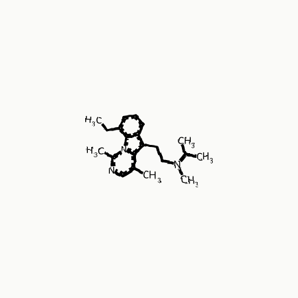 CCc1cccc2c(CCN(C)C(C)C)c3c(C)cnc(C)n3c12